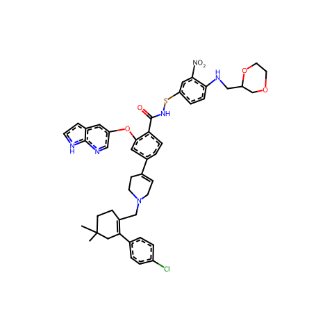 CC1(C)CCC(CN2CC=C(c3ccc(C(=O)NSc4ccc(NCC5COCCO5)c([N+](=O)[O-])c4)c(Oc4cnc5[nH]ccc5c4)c3)CC2)=C(c2ccc(Cl)cc2)C1